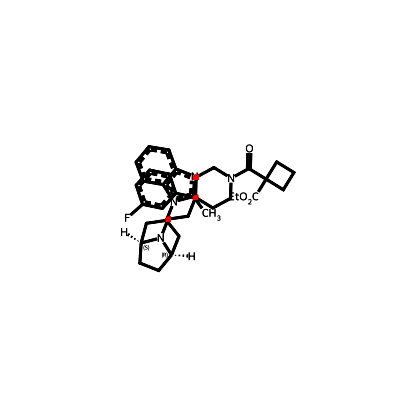 CCOC(=O)C1(C(=O)N2CCC(CCN3[C@@H]4CC[C@H]3CC(n3c(C)nc5ccccc53)C4)(c3cccc(F)c3)CC2)CCC1